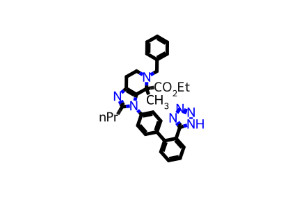 CCCc1nc2c(n1-c1ccc(-c3ccccc3-c3nnn[nH]3)cc1)C(C)(C(=O)OCC)N(Cc1ccccc1)CC2